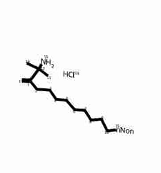 C=C(CCCCCCCCCCCCCCCCCC)C(C)(C)N.Cl